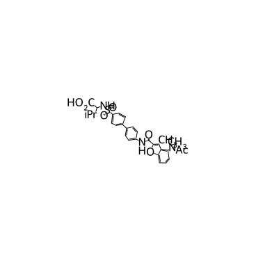 CC(=O)N(C)c1cccc2oc(C(=O)Nc3ccc(-c4ccc(S(=O)(=O)N[C@H](C(=O)O)C(C)C)cc4)cc3)c(C)c12